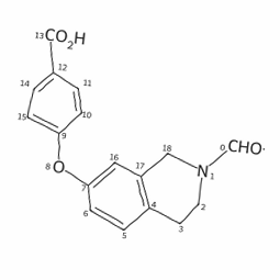 O=[C]N1CCc2ccc(Oc3ccc(C(=O)O)cc3)cc2C1